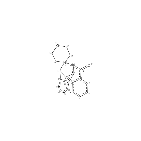 O=c1c2ccccc2c2c3n1[N+]1(CCOCC1)C2c1ccccc1-3